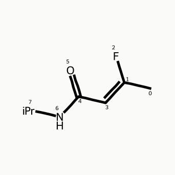 C/C(F)=C/C(=O)NC(C)C